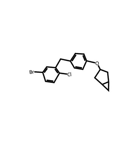 Clc1ccc(Br)cc1Cc1ccc(OC2CC3CC3C2)cc1